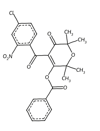 CC1(C)OC(C)(C)C(OC(=O)c2ccccc2)=C(C(=O)c2ccc(Cl)cc2[N+](=O)[O-])C1=O